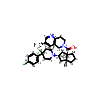 O=C(N1CCc2ncc(C(F)(F)F)cc2C1)[C@@]12CCC[C@@H]1C[C@@H](N1CCC(F)(c3ccc(F)cc3)CC1)C2